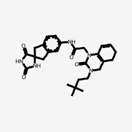 CC(C)(C)CCN1CC2=C(C=CCC2)N(CC(=O)Nc2ccc3c(c2)CC2(C3)NC(=O)NC2=O)C1=O